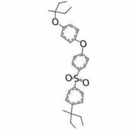 CCC(C)(CC)Oc1ccc(Oc2ccc(S(=O)(=O)c3ccc(C(C)(CC)CC)cc3)cc2)cc1